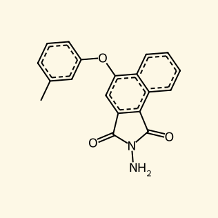 Cc1cccc(Oc2cc3c(c4ccccc24)C(=O)N(N)C3=O)c1